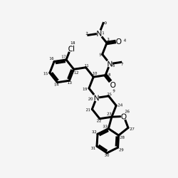 CN(C)C(=O)CN(C)C(=O)C(Cc1ccccc1Cl)CN1CCC2(CC1)OCc1ccccc12